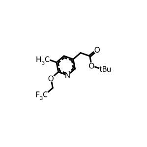 Cc1cc(CC(=O)OC(C)(C)C)cnc1OCC(F)(F)F